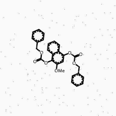 COc1cc(OC(=O)OCc2ccccc2)c2ccccc2c1OC(=O)OCc1ccccc1